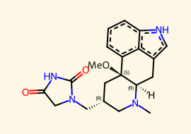 CO[C@]12C[C@@H](CN3CC(=O)NC3=O)CN(C)[C@@H]1Cc1c[nH]c3cccc2c13